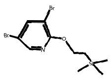 C[Si](C)(C)CCOc1ncc(Br)cc1Br